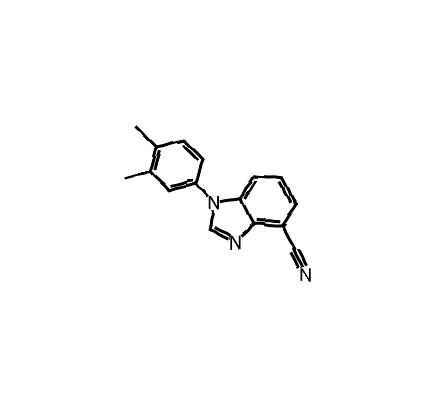 Cc1ccc(-n2cnc3c(C#N)cccc32)cc1C